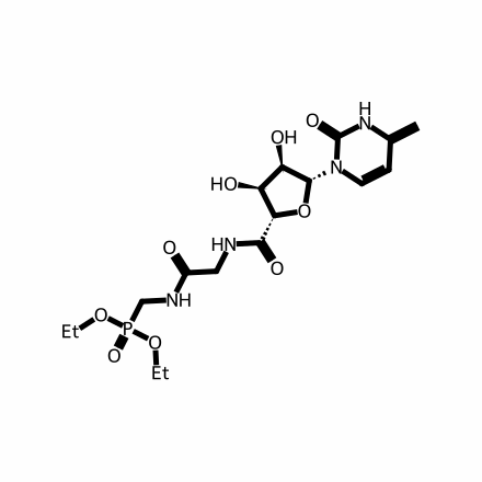 C=C1C=CN([C@@H]2O[C@H](C(=O)NCC(=O)NCP(=O)(OCC)OCC)[C@@H](O)[C@H]2O)C(=O)N1